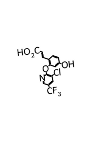 O=C(O)C=Cc1ccc(O)cc1Oc1ncc(C(F)(F)F)cc1Cl